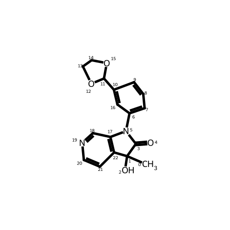 CC1(O)C(=O)N(c2cccc(C3OCCO3)c2)c2cnccc21